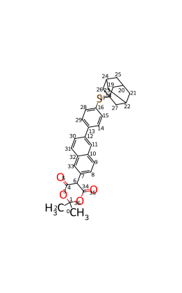 CC1(C)OC(=O)C(c2ccc3cc(-c4ccc(SC56CC7CC(CC(C7)C5)C6)cc4)ccc3c2)C(=O)O1